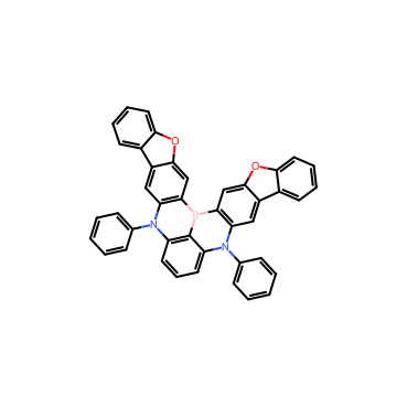 c1ccc(N2c3cc4c(cc3B3c5cc6oc7ccccc7c6cc5N(c5ccccc5)c5cccc2c53)oc2ccccc24)cc1